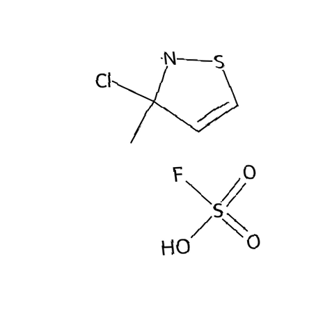 CC1(Cl)C=CS[N]1.O=S(=O)(O)F